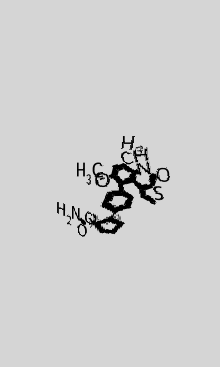 COc1cc(C)c2[nH]c(=O)c3sccc3c2c1-c1ccc([C@H]2CCC[C@H]2OC(N)=O)cc1